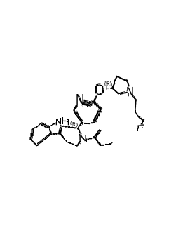 C=C(CC)N1CCc2c([nH]c3ccccc23)[C@H]1c1ccc(O[C@@H]2CCN(CCCF)C2)nc1